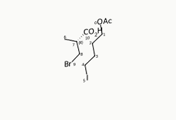 CC(=O)OCCCCI.C[C@@H](CBr)C(=O)O